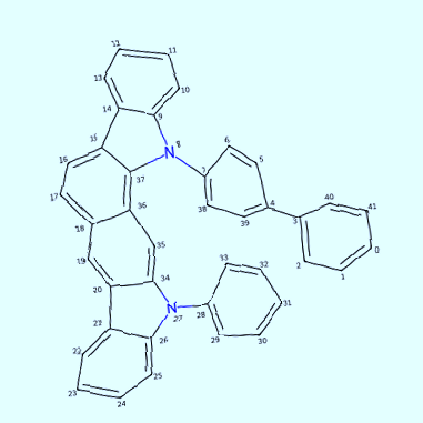 c1ccc(-c2ccc(-n3c4ccccc4c4ccc5cc6c7ccccc7n(-c7ccccc7)c6cc5c43)cc2)cc1